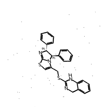 C1=C(CSC2=NCc3ccccc3N2)N2C(=N[C@H](c3ccccc3)[C@H]2c2ccccc2)S1